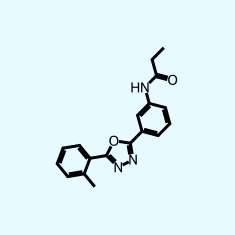 CCC(=O)Nc1cccc(-c2nnc(-c3ccccc3C)o2)c1